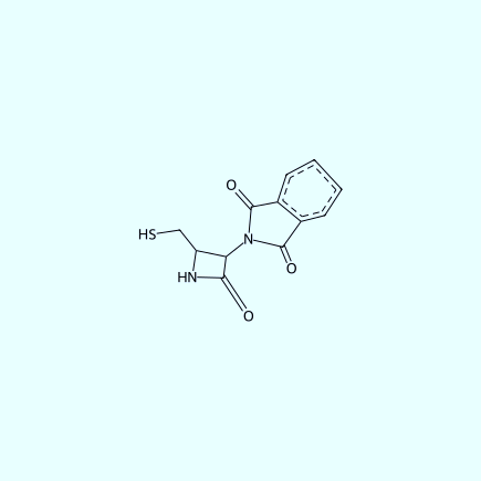 O=C1NC(CS)C1N1C(=O)c2ccccc2C1=O